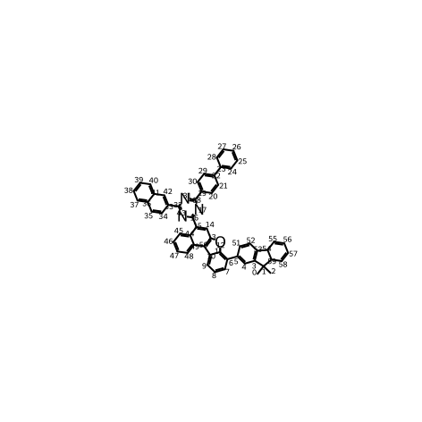 CC1(C)c2cc(-c3cccc4c3oc3cc(-c5nc(-c6ccc(-c7ccccc7)cc6)nc(-c6ccc7ccccc7c6)n5)c5ccccc5c34)ccc2C2C=CC=CC21